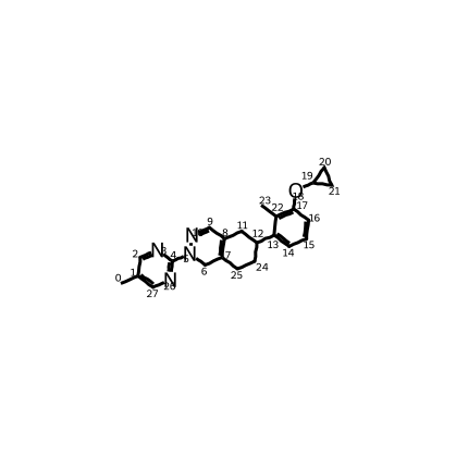 Cc1cnc(N2CC3=C(C=N2)CC(c2cccc(OC4CC4)c2C)CC3)nc1